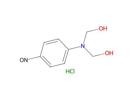 Cl.O=Nc1ccc(N(CO)CO)cc1